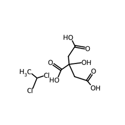 CC(Cl)Cl.O=C(O)CC(O)(CC(=O)O)C(=O)O